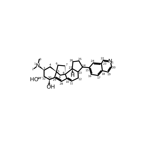 CN(C)[C@H]1C[C@@]23CC[C@@]4(C2)C(=CCC2C(c5ccc6ccncc6c5)CC[C@H]24)C=C3[C@@H](O)[C@@H]1O